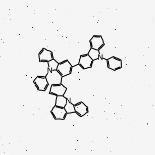 C1=C(c2cc(-c3ccc4c(c3)c3ccccc3n4-c3ccccc3)cc3c4ccccc4n(-c4ccccc4)c23)CC2C(=C1)c1cccc3c4ccccc4n2c13